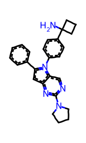 NC1(c2ccc(-n3c(-c4ccccc4)cc4nc(N5CCCC5)ncc43)cc2)CCC1